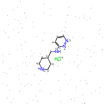 Cl.c1cnnc(NCC2CCNCC2)c1